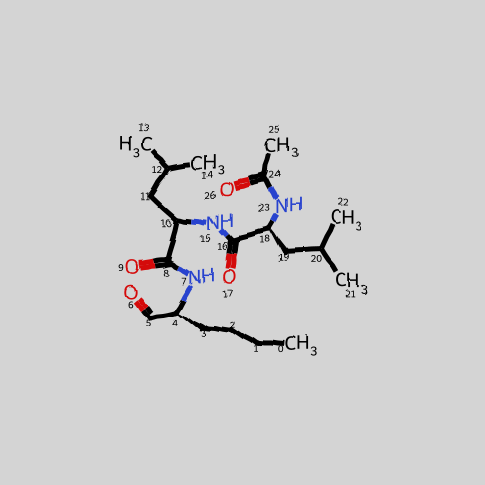 CCCC[C@@H](C=O)NC(=O)C(CC(C)C)NC(=O)[C@H](CC(C)C)NC(C)=O